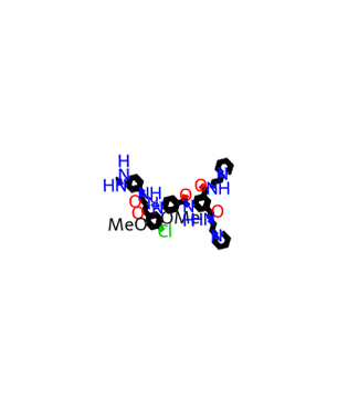 COc1cc(C(=O)C(/N=N/c2ccc(C(=O)Nc3cc(C(=O)NCCN4CCCCC4)cc(C(=O)NCCN4CCCCC4)c3)cc2)C(=O)Nc2ccc3c(c2)NCN3)c(OC)cc1Cl